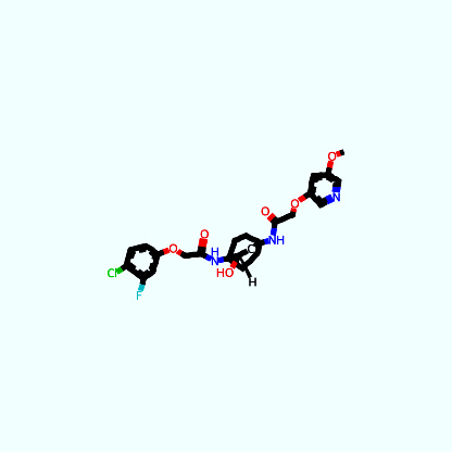 COc1cncc(OCC(=O)NC23CCC(NC(=O)COc4ccc(Cl)c(F)c4)(CC2)[C@@H](O)C3)c1